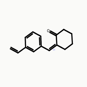 C=Cc1cccc(/C=C2/CCCCC2=O)c1